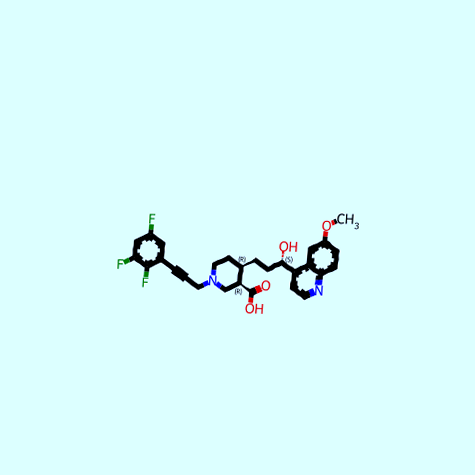 COc1ccc2nccc([C@@H](O)CC[C@@H]3CCN(CC#Cc4cc(F)cc(F)c4F)C[C@@H]3C(=O)O)c2c1